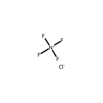 F[N+](F)(F)F.[Cl-]